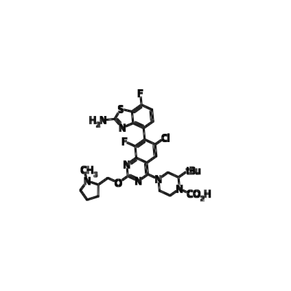 CN1CCCC1COc1nc(N2CCN(C(=O)O)C(C(C)(C)C)C2)c2cc(Cl)c(-c3ccc(F)c4sc(N)nc34)c(F)c2n1